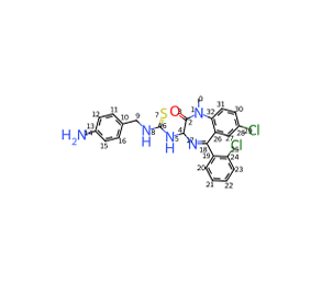 CN1C(=O)C(NC(=S)NCc2ccc(N)cc2)N=C(c2ccccc2Cl)c2cc(Cl)ccc21